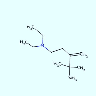 C=C(CCN(CC)CC)C(C)(C)[SiH3]